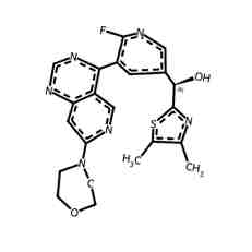 Cc1nc([C@H](O)c2cnc(F)c(-c3ncnc4cc(N5CCOCC5)ncc34)c2)sc1C